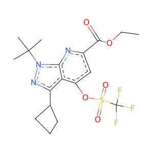 CCOC(=O)c1cc(OS(=O)(=O)C(F)(F)F)c2c(C3CCC3)nn(C(C)(C)C)c2n1